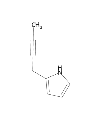 CC#CCc1ccc[nH]1